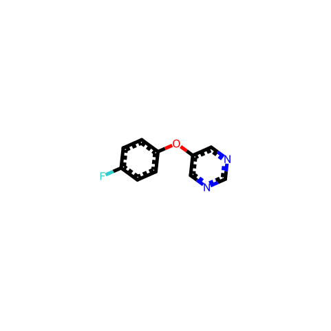 Fc1ccc(Oc2cncnc2)cc1